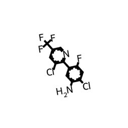 Nc1cc(-c2ncc(C(F)(F)F)cc2Cl)c(F)cc1Cl